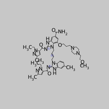 CCn1nc(C)cc1C(=O)/N=c1\[nH]c2cc(C)ccc2n1C/C=C/Cn1/c(=N/C(=O)c2cc(C)nn2CC)[nH]c2cc(C(N)=O)cc(OCCCN3CCN(CCOC)CC3)c21